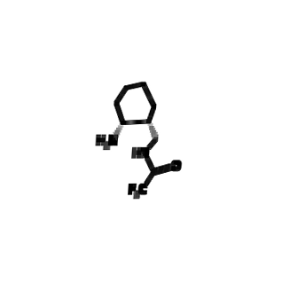 N[C@@H]1CCCC[C@@H]1CNC(=O)C(F)(F)F